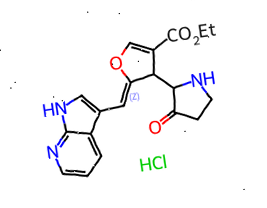 CCOC(=O)C1=CO/C(=C\c2c[nH]c3ncccc23)C1C1NCCC1=O.Cl